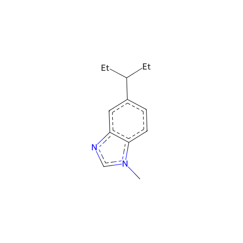 CCC(CC)c1ccc2c(c1)ncn2C